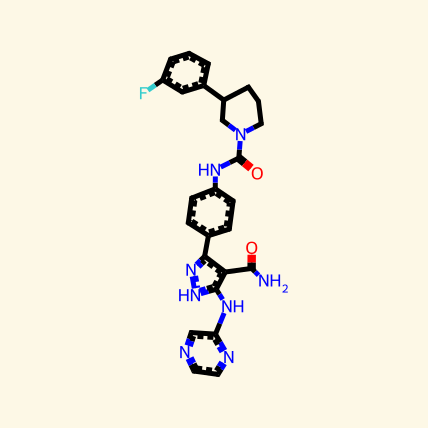 NC(=O)c1c(-c2ccc(NC(=O)N3CCCC(c4cccc(F)c4)C3)cc2)n[nH]c1Nc1cnccn1